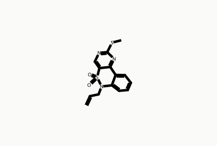 C=CCN1c2ccccc2-c2nc(SC)ncc2S1(=O)=O